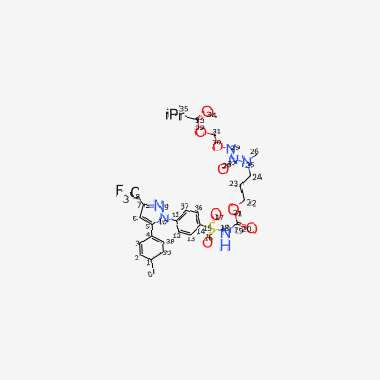 Cc1ccc(-c2cc(C(F)(F)F)nn2-c2ccc(S(=O)(=O)NC(=O)OCCCN(C)[N+]([O-])=NOCOC(=O)C(C)C)cc2)cc1